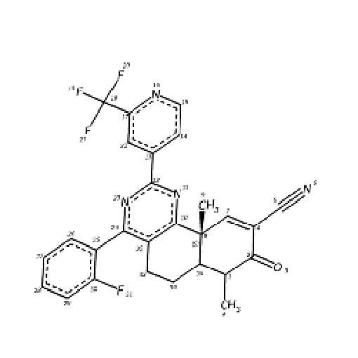 CC1C(=O)C(C#N)=C[C@@]2(C)c3nc(-c4ccnc(C(F)(F)F)c4)nc(-c4ccccc4F)c3CCC12